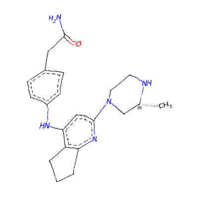 C[C@@H]1CN(c2cc(Nc3ccc(CC(N)=O)cc3)c3c(n2)CCC3)CCN1